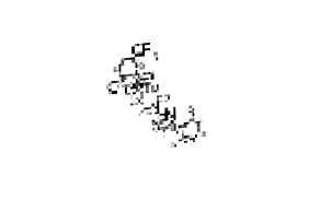 Cc1cccc(C)c1-c1csc(N2CCC(S(=O)(=O)c3cc(C(F)(F)F)ccc3Cl)CC2)n1